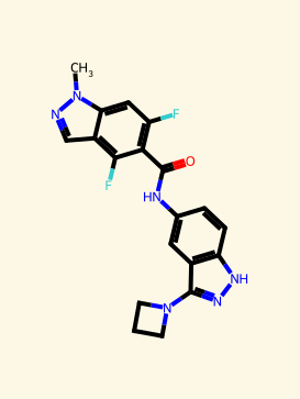 Cn1ncc2c(F)c(C(=O)Nc3ccc4[nH]nc(N5CCC5)c4c3)c(F)cc21